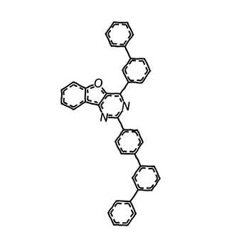 c1ccc(-c2cccc(-c3ccc(-c4nc(-c5cccc(-c6ccccc6)c5)c5oc6ccccc6c5n4)cc3)c2)cc1